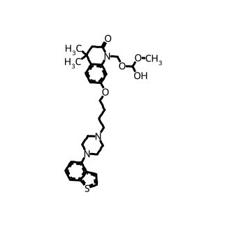 COC(O)OCN1C(=O)CC(C)(C)c2ccc(OCCCCN3CCN(c4cccc5sccc45)CC3)cc21